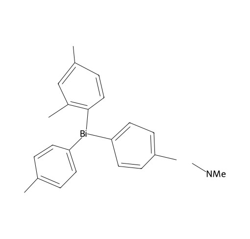 CNC.Cc1cc[c]([Bi]([c]2ccc(C)cc2)[c]2ccc(C)cc2C)cc1